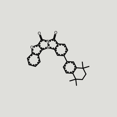 CC1(C)CCC(C)(C)c2cc(-c3ccc4c(=O)n5c(=O)c6oc7ccccc7c6n5c4c3)ccc21